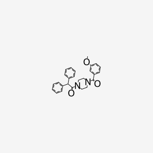 COc1cccc(C(=O)N2CCN(C(=O)C(c3ccccc3)c3ccccc3)CC2)c1